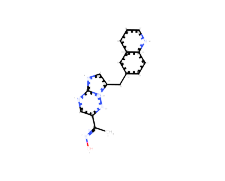 C/C(=N\O)c1cnc2ncc(Cc3ccc4ncccc4c3)n2n1